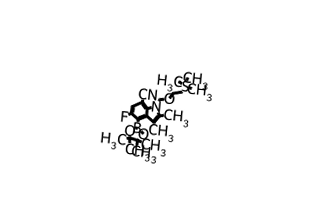 Cc1c(C)n(COCCS(C)(C)C)c2c(C#N)cc(F)c(B3OC(C)(C)C(C)(C)O3)c12